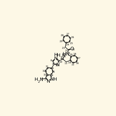 Nc1n[nH]c2cc(-c3c[nH]c([C@@H](N)Cc4ccccc4NC(=O)Cc4ccccc4)n3)ccc12